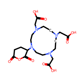 O=C(O)CN1CCN(CC(=O)O)CCN(C2CCC(=O)OC2=O)CCN(CC(=O)O)CC1